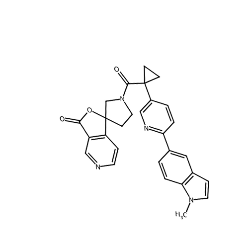 Cn1ccc2cc(-c3ccc(C4(C(=O)N5CCC6(C5)OC(=O)c5cnccc56)CC4)cn3)ccc21